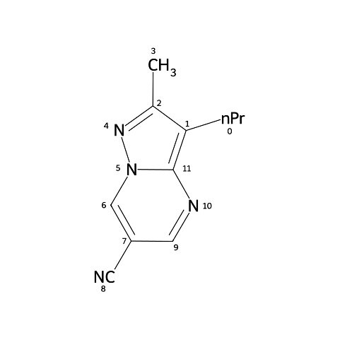 CCCc1c(C)nn2cc(C#N)cnc12